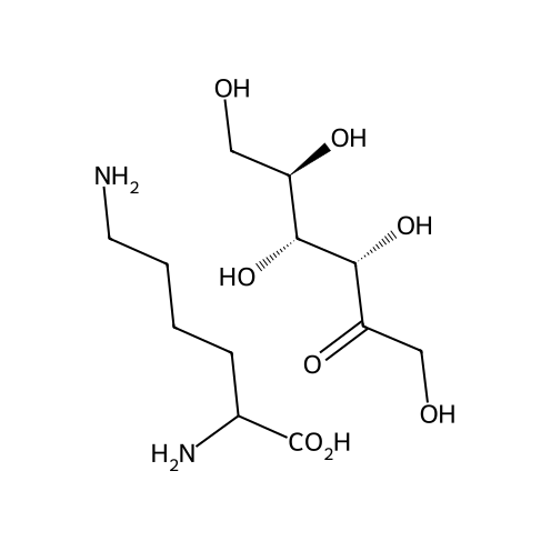 NCCCCC(N)C(=O)O.O=C(CO)[C@@H](O)[C@H](O)[C@H](O)CO